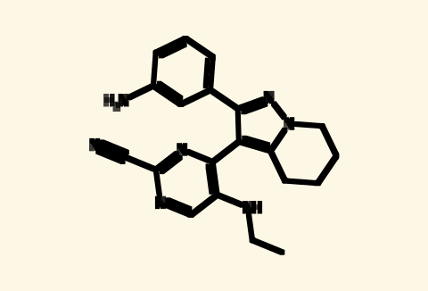 CCNc1cnc(C#N)nc1-c1c(-c2cccc(N)c2)nn2c1CCCC2